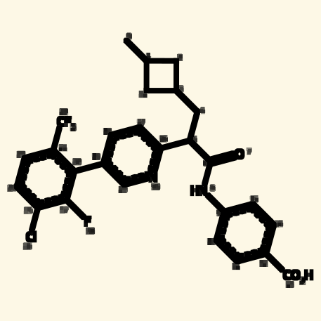 CC1CC(CC(C(=O)Nc2ccc(C(=O)O)cc2)c2ccc(-c3c(C(F)(F)F)ccc(Cl)c3F)cn2)C1